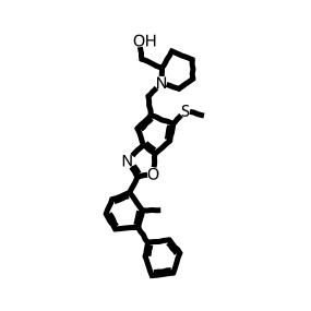 CSc1cc2oc(-c3cccc(-c4ccccc4)c3C)nc2cc1CN1CCCCC1CO